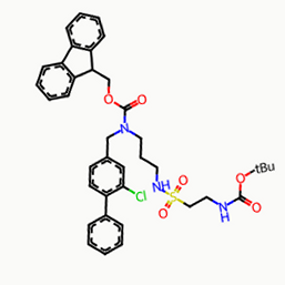 CC(C)(C)OC(=O)NCCS(=O)(=O)NCCCN(Cc1ccc(-c2ccccc2)c(Cl)c1)C(=O)OCC1c2ccccc2-c2ccccc21